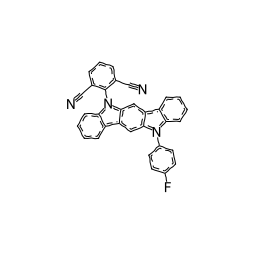 N#Cc1cccc(C#N)c1-n1c2ccccc2c2cc3c(cc21)c1ccccc1n3-c1ccc(F)cc1